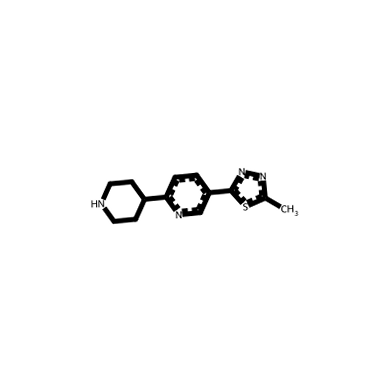 Cc1nnc(-c2ccc(C3CCNCC3)nc2)s1